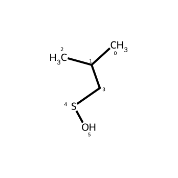 CC(C)CSO